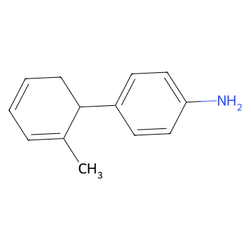 CC1=CC=CCC1c1ccc(N)cc1